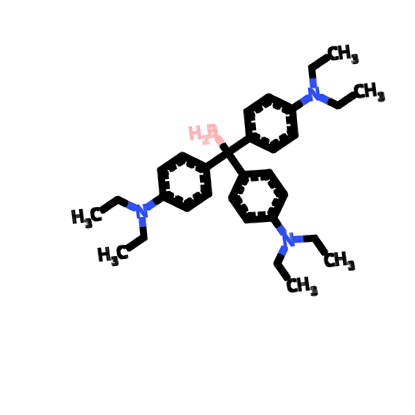 BC(c1ccc(N(CC)CC)cc1)(c1ccc(N(CC)CC)cc1)c1ccc(N(CC)CC)cc1